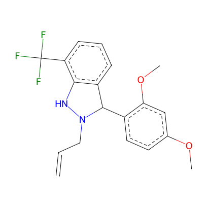 C=CCN1Nc2c(cccc2C(F)(F)F)C1c1ccc(OC)cc1OC